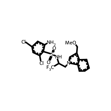 COCc1cn(CC(NS(=O)(=O)c2c(N)cc(Cl)cc2Cl)C(F)(F)F)c2ccccc12